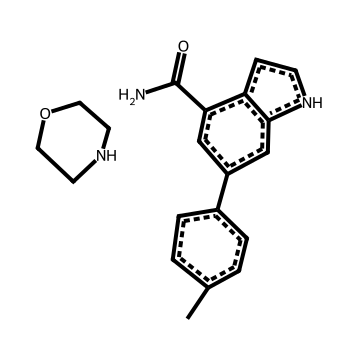 C1COCCN1.Cc1ccc(-c2cc(C(N)=O)c3cc[nH]c3c2)cc1